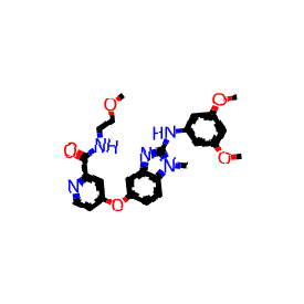 COCCNC(=O)c1cc(Oc2ccc3c(c2)nc(Nc2cc(OC)cc(OC)c2)n3C)ccn1